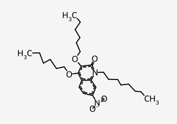 CCCCCCCCn1c(=O)c(OCCCCCC)c(OCCCCCC)c2ccc([N+](=O)[O-])cc21